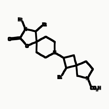 CCC1C(N2CCC3(CC2)OC(=O)N(CC)C3CC)CC12CCN(C(=O)O)C2